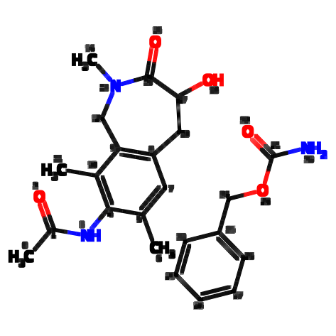 CC(=O)Nc1c(C)cc2c(c1C)CN(C)C(=O)C(O)C2.NC(=O)OCc1ccccc1